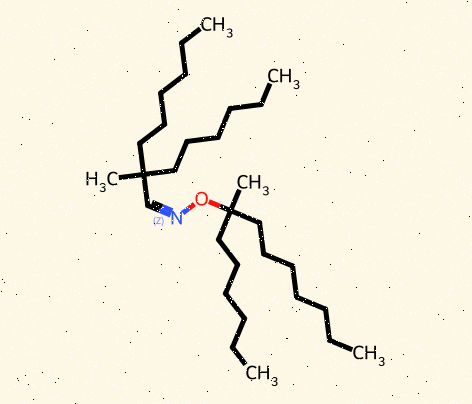 CCCCCCCC(C)(CCCCCC)O/N=C\C(C)(CCCCCC)CCCCCC